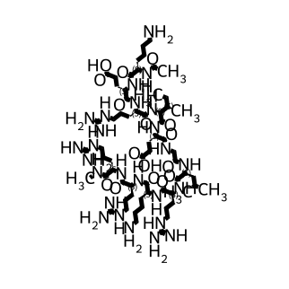 CC[C@H](C)[C@H](NC(=O)[C@H](CCCNC(=N)N)NC(=O)[C@H](CCC(=O)O)NC(=O)[C@H](CCCCN)NC(C)=O)C(=O)N[C@@H](CCC(=O)O)C(=O)NCC(=O)N[C@@H](CC(C)C)C(=O)N[C@@H](CCCNC(=N)N)C(=O)N[C@@H](CCCCN)C(=O)N[C@@H](CCCNC(=N)N)C(=O)N[C@@H](CCCNC(=N)N)C(=O)NC